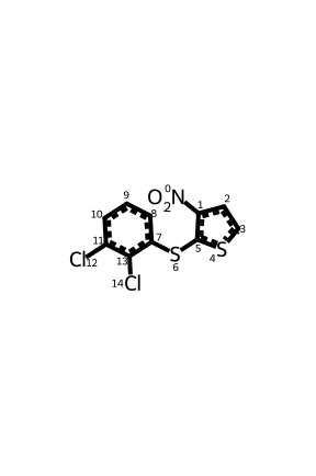 O=[N+]([O-])c1c[c]sc1Sc1cccc(Cl)c1Cl